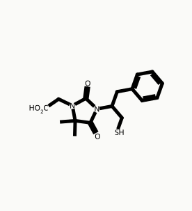 CC1(C)C(=O)N(C(CS)Cc2ccccc2)C(=O)N1CC(=O)O